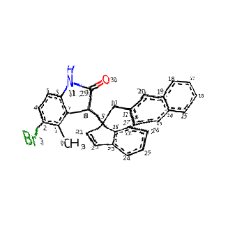 Cc1c(Br)ccc2c1C(C1(Cc3ccc4ccccc4c3)C=Cc3ccccc31)C(=O)N2